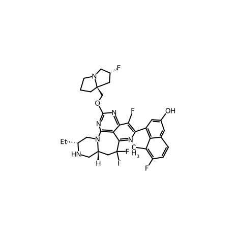 CC[C@@H]1CN2c3nc(OC[C@@]45CCCN4C[C@H](F)C5)nc4c(F)c(-c5cc(O)cc6ccc(F)c(C)c56)nc(c34)C(F)(F)C[C@@H]2CN1